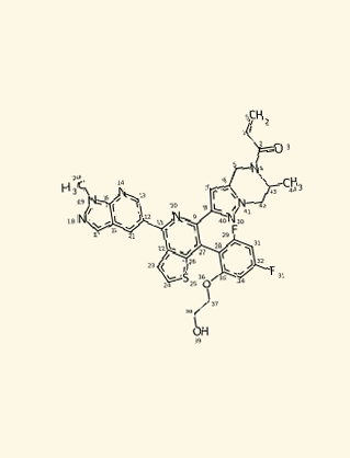 C=CC(=O)N1Cc2cc(-c3nc(-c4cnc5c(cnn5C)c4)c4ccsc4c3-c3c(F)cc(F)cc3OCCO)nn2CC1C